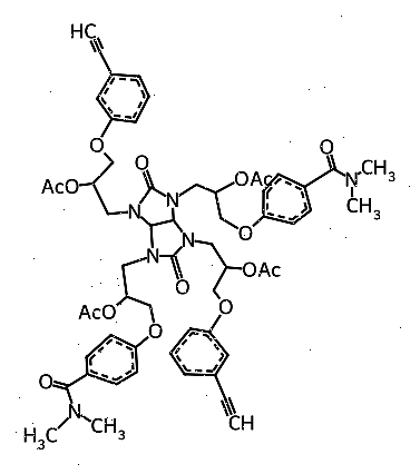 C#Cc1cccc(OCC(CN2C(=O)N(CC(COc3ccc(C(=O)N(C)C)cc3)OC(C)=O)C3C2N(CC(COc2ccc(C(=O)N(C)C)cc2)OC(C)=O)C(=O)N3CC(COc2cccc(C#C)c2)OC(C)=O)OC(C)=O)c1